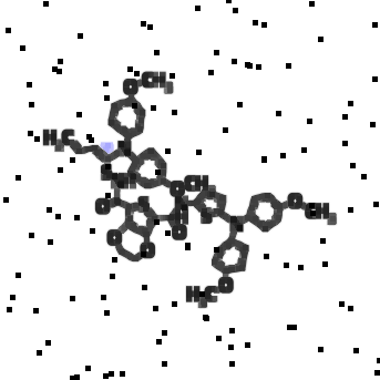 C=C/C=C(\SNC(=O)c1sc(C(=O)Nc2ccc(N(c3ccc(OC)cc3)c3ccc(OC)cc3)s2)c2c1OCCO2)N(c1ccc(OC)cc1)c1ccc(OC)cc1